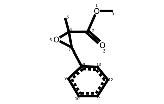 COC(=O)C1(C)OC1c1ccccc1